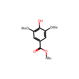 CCCCOC(=O)c1cc(OC)c(O)c(OC)c1